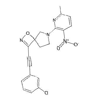 Cc1ccc([N+](=O)[O-])c(N2CCC3(C2)ON=C3C#Cc2cccc(Cl)c2)n1